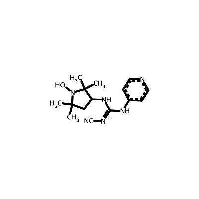 CC1(C)CC(N/C(=N\C#N)Nc2ccncc2)C(C)(C)N1O